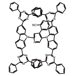 N#Cc1ccccc1-c1cc(-n2c3cc(-c4nc(-c5ccccc5)nc(-c5ccccc5)n4)ccc3c3ccc(-c4nc(-c5ccccc5)nc(-c5ccccc5)n4)cc32)ncc1-n1c2cc(-c3nc(-c4ccccc4)nc(-c4ccccc4)n3)ccc2c2ccc(-c3nc(-c4ccccc4)nc(-c4ccccc4)n3)cc21